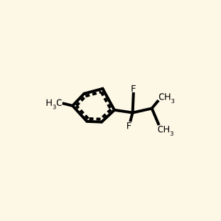 Cc1ccc(C(F)(F)C(C)C)cc1